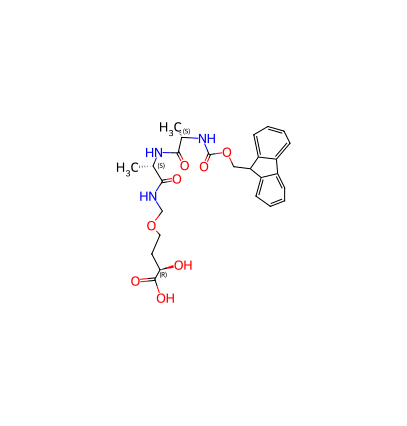 C[C@H](NC(=O)OCC1c2ccccc2-c2ccccc21)C(=O)N[C@@H](C)C(=O)NCOCC[C@@H](O)C(=O)O